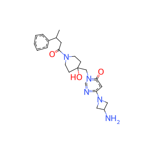 CC(CC(=O)N1CCC(O)(Cn2cnc(N3CC(N)C3)cc2=O)CC1)c1ccccc1